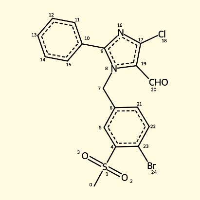 CS(=O)(=O)c1cc(Cn2c(-c3ccccc3)nc(Cl)c2C=O)ccc1Br